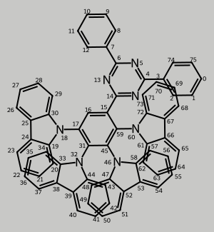 c1ccc(-c2nc(-c3ccccc3)nc(-c3cc(-n4c5ccccc5c5ccccc54)c(-n4c5ccccc5c5ccccc54)c(-n4c5ccccc5c5ccccc54)c3-n3c4ccccc4c4ccccc43)n2)cc1